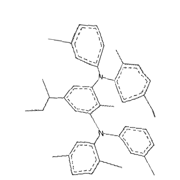 CCC(C)c1cc(N(c2cccc(C)c2)c2cc(C)ccc2C)c(C)c(N(c2cccc(C)c2)c2cc(C)ccc2C)c1